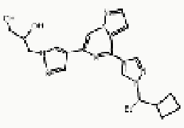 CC[C@@H](C1CCC1)n1cc(-c2nc(-c3cnn(CC(O)CO)c3)cn3nccc23)cn1